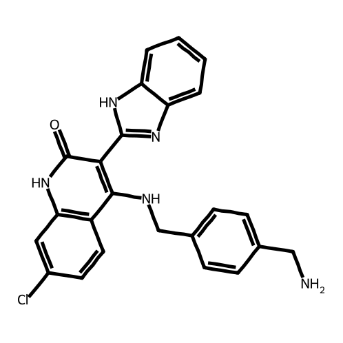 NCc1ccc(CNc2c(-c3nc4ccccc4[nH]3)c(=O)[nH]c3cc(Cl)ccc23)cc1